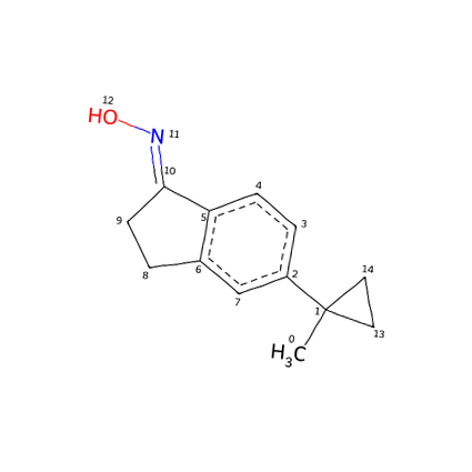 CC1(c2ccc3c(c2)CCC3=NO)CC1